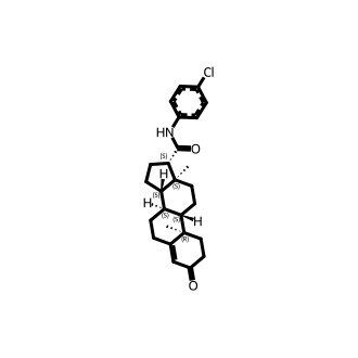 C[C@]12CC[C@H]3[C@@H](CCC4=CC(=O)CC[C@@]43C)[C@@H]1CC[C@@H]2C(=O)Nc1ccc(Cl)cc1